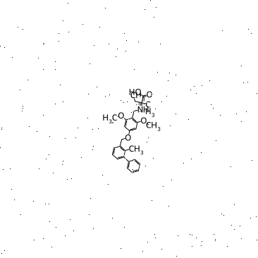 CC[C@@](C)(NCc1c(OC)cc(OCc2cccc(-c3ccccc3)c2C)cc1OC)C(=O)O